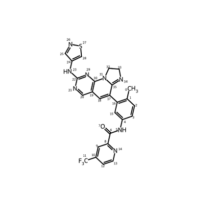 Cc1ccc(NC(=O)c2cc(C(F)(F)F)ccn2)cc1C1=Cc2cnc(Nc3cnsc3)nc2N2CCN=C12